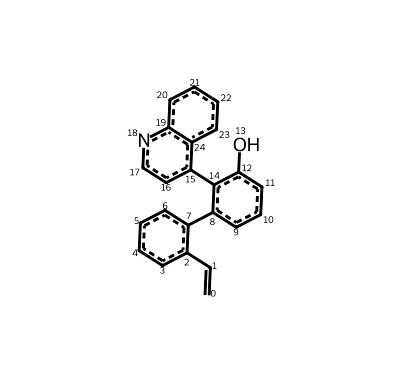 C=Cc1ccccc1-c1cccc(O)c1-c1ccnc2ccccc12